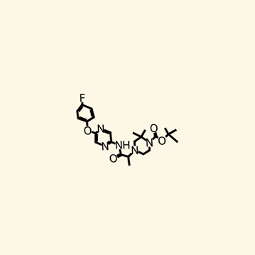 CC(C(=O)Nc1cnc(Oc2ccc(F)cc2)cn1)N1CCN(C(=O)OC(C)(C)C)C(C)(C)C1